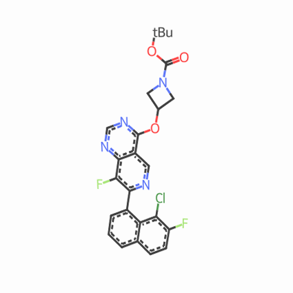 CC(C)(C)OC(=O)N1CC(Oc2ncnc3c(F)c(-c4cccc5ccc(F)c(Cl)c45)ncc23)C1